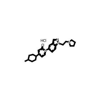 CC1CCC(c2ccn(-c3ccc4c(cnn4CCN4CCCC4)c3)c(=O)c2)CC1.Cl